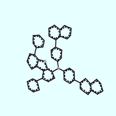 c1ccc(-c2cccc3c2oc2c(N(c4ccc(-c5ccc6ccccc6c5)cc4)c4ccc(-c5cccc6ccccc56)cc4)ccc(-c4ccccc4)c23)cc1